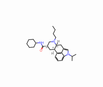 CCCCN1C[C@H](C(=O)NC2CCCCC2)C[C@@H]2c3cccc4c3c(cn4C(C)C)C[C@H]21